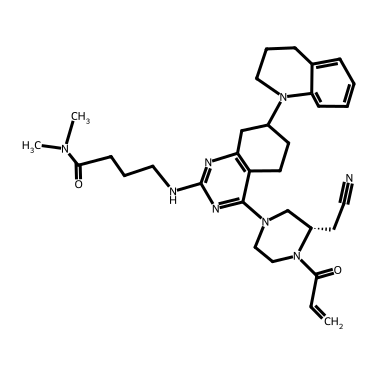 C=CC(=O)N1CCN(c2nc(NCCCC(=O)N(C)C)nc3c2CCC(N2CCCc4ccccc42)C3)C[C@@H]1CC#N